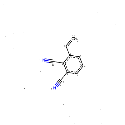 C=Cc1[c]ccc(C#N)c1C#N